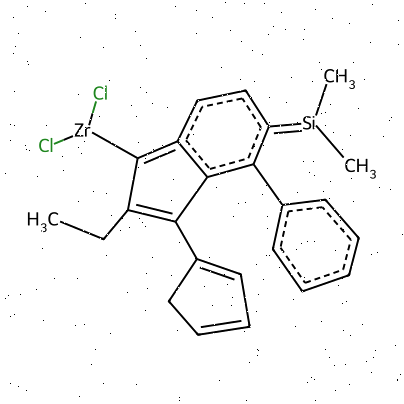 CCC1=C(C2=CC=CC2)c2c(-c3ccccc3)c(=[Si](C)C)ccc2=[C]1[Zr]([Cl])[Cl]